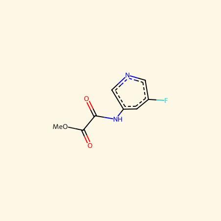 COC(=O)C(=O)Nc1cncc(F)c1